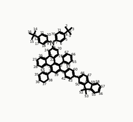 CC(C)(C)c1ccc(N(c2ccc(C(C)(C)C)cc2)c2ccc3c(c2)c2ccccc2c2c(C4=CC=CCC4)cc(-c4ccc(-c5ccc6c(c5)C(C)(C)c5ccccc5-6)cc4)c(-c4ccccc4)c32)cc1